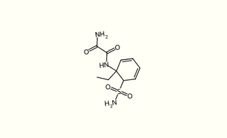 CCC1(NC(=O)C(N)=O)C=CC=CC1S(N)(=O)=O